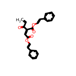 C=CC(=O)/C(=C/C(=O)OC=Cc1ccccc1)C(=O)OC=Cc1ccccc1